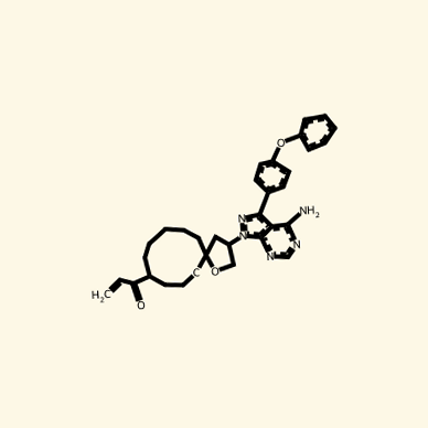 C=CC(=O)C1CCCCCC2(CCC1)CC(n1nc(-c3ccc(Oc4ccccc4)cc3)c3c(N)ncnc31)CO2